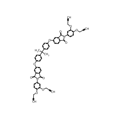 C#CCOc1ccc(N2C(=O)c3ccc(Oc4ccc(C(C)(C)c5ccc(Oc6ccc7c(c6)C(=O)N(c6ccc(OCC#C)c(OCC#C)c6)C7=O)cc5)cc4)cc3C2=O)cc1OCC#C